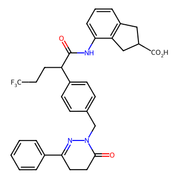 O=C(O)C1Cc2cccc(NC(=O)C(CCC(F)(F)F)c3ccc(CN4N=C(c5ccccc5)CCC4=O)cc3)c2C1